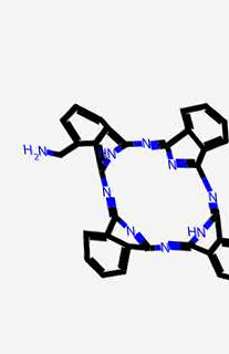 NCc1cccc2c3nc4nc(nc5[nH]c(nc6nc(nc([nH]3)c12)-c1ccccc1-6)c1ccccc51)-c1ccccc1-4